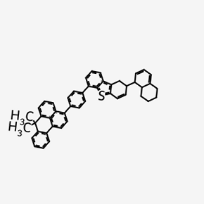 CC1(C)c2ccccc2-c2ccc(-c3ccc(-c4cccc5c6c(sc45)C=CC(C4C=CC=C5CCCCC54)C6)cc3)c3cccc1c23